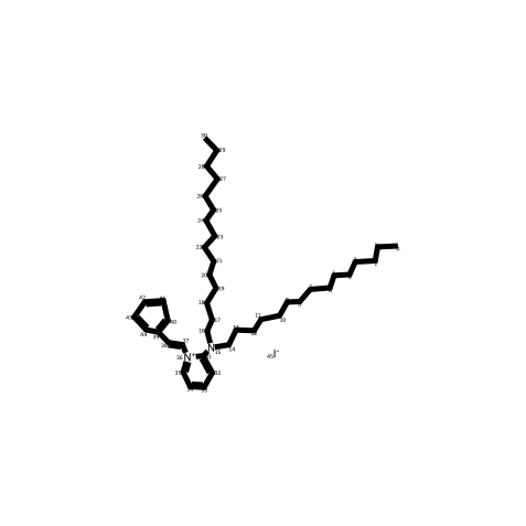 CCCCCCCCCCCCCCCN(CCCCCCCCCCCCCCC)c1cccc[n+]1C=Cc1ccccc1.[I-]